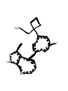 Cc1n[nH]c2nccc(-c3cc(F)cc(C4(CN)CCC4)c3)c12